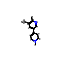 Cc1ncc(C2=CCN(C)CC2)cc1[N+](=O)[O-]